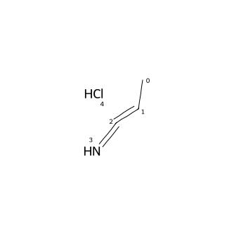 CC=C=N.Cl